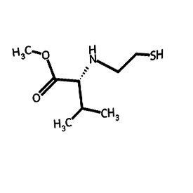 COC(=O)[C@H](NCCS)C(C)C